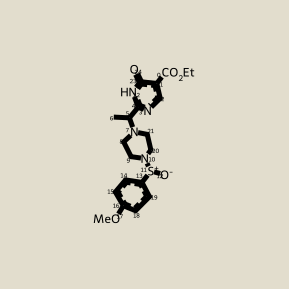 CCOC(=O)c1cnc(C(C)N2CCN([S+]([O-])c3ccc(OC)cc3)CC2)[nH]c1=O